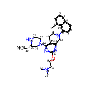 Cc1cccc2cccc(N3CCc4c(nc(OCCN(C)C)nc4N4CCN[C@@H](CC#N)C4)C3)c12